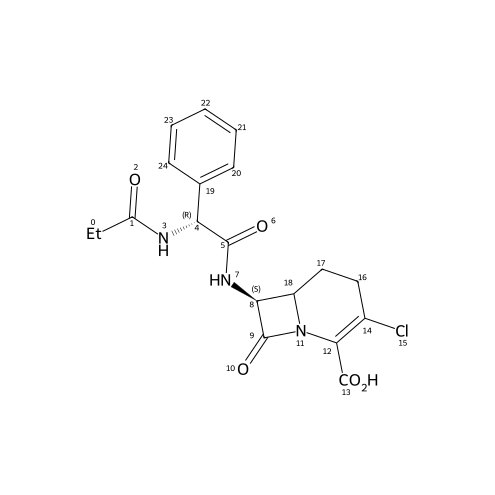 CCC(=O)N[C@@H](C(=O)N[C@@H]1C(=O)N2C(C(=O)O)=C(Cl)CCC12)c1ccccc1